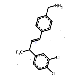 NCc1ccc(/C=C/C(c2ccc(Cl)c(Cl)c2)C(F)(F)F)cc1